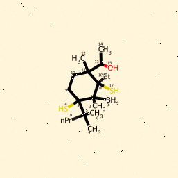 BC1(C)C(S)(C(C)(C)CCC)CCC(C)(C(C)O)C1(S)CC